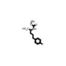 CC(C)(C)OC(=O)NC(CCCc1ccc(F)cc1)C(=O)O